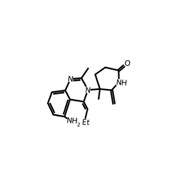 C=C1NC(=O)CCC1(C)N1C(C)=Nc2cccc(N)c2/C1=C\CC